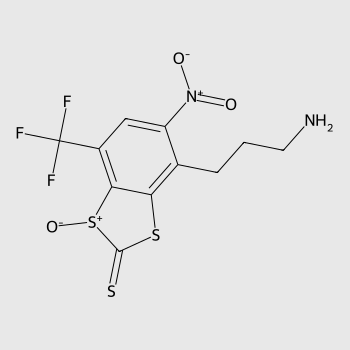 NCCCc1c([N+](=O)[O-])cc(C(F)(F)F)c2c1sc(=S)[s+]2[O-]